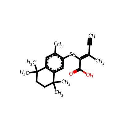 C#CC(C)=C([Se]c1cc2c(cc1C)C(C)(C)CCC2(C)C)C(=O)O